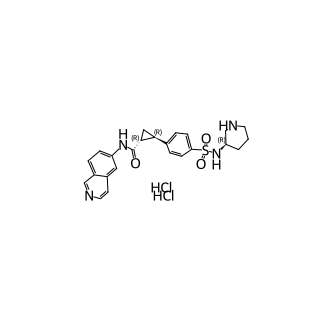 Cl.Cl.O=C(Nc1ccc2cnccc2c1)[C@@H]1C[C@H]1c1ccc(S(=O)(=O)N[C@@H]2CCCNC2)cc1